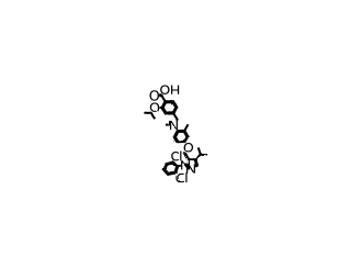 Cc1cc(OCc2c(C(C)C)cnn2-c2c(Cl)cccc2Cl)ccc1N(C)Cc1ccc(C(=O)O)c(OC(C)C)c1